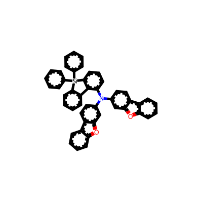 c1ccc([Si]2(c3ccccc3)c3ccccc3-c3c(N(c4ccc5c(c4)oc4ccccc45)c4ccc5c(c4)oc4ccccc45)cccc32)cc1